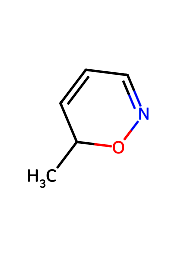 CC1C=CC=NO1